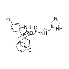 O=C(CNC1(C2(Cc3cccc(Cl)c3)C(=O)Nc3cc(Cl)ccc32)CCCCC1)NCCc1cnc[nH]1